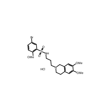 COc1cc2c(cc1OC)CN(CCCNS(=O)(=O)c1cc(Br)ccc1OC)CC2.Cl